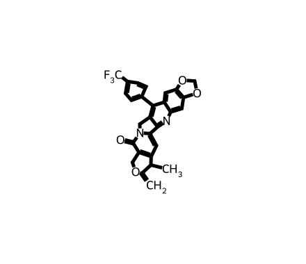 C=C1OCc2c(cc3n(c2=O)Cc2c-3nc3cc4c(cc3c2-c2ccc(C(F)(F)F)cc2)OCO4)C1C